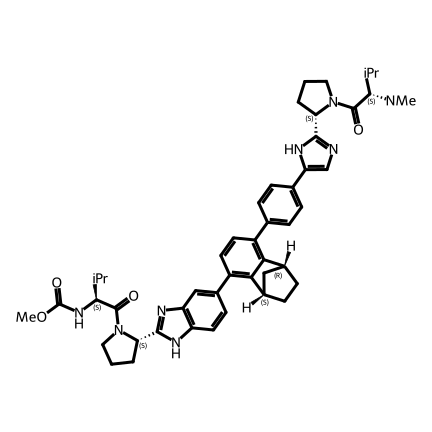 CN[C@H](C(=O)N1CCC[C@H]1c1ncc(-c2ccc(-c3ccc(-c4ccc5[nH]c([C@@H]6CCCN6C(=O)[C@@H](NC(=O)OC)C(C)C)nc5c4)c4c3[C@@H]3CC[C@H]4C3)cc2)[nH]1)C(C)C